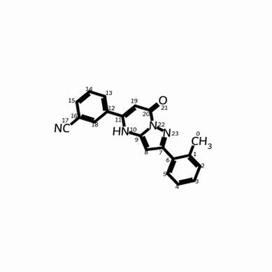 Cc1ccccc1-c1cc2[nH]c(-c3cccc(C#N)c3)cc(=O)n2n1